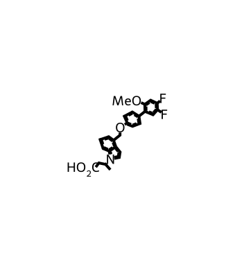 COc1cc(F)c(F)cc1-c1ccc(OCc2cccc3c2ccn3C(C)CC(=O)O)cc1